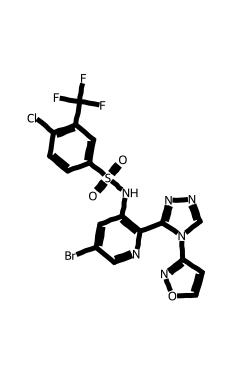 O=S(=O)(Nc1cc(Br)cnc1-c1nncn1-c1ccon1)c1ccc(Cl)c(C(F)(F)F)c1